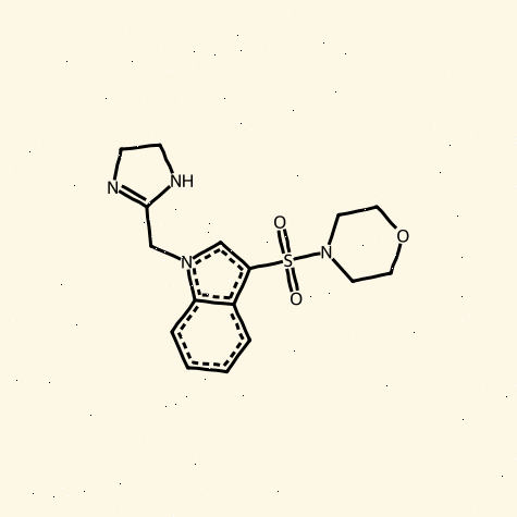 O=S(=O)(c1cn(CC2=NCCN2)c2ccccc12)N1CCOCC1